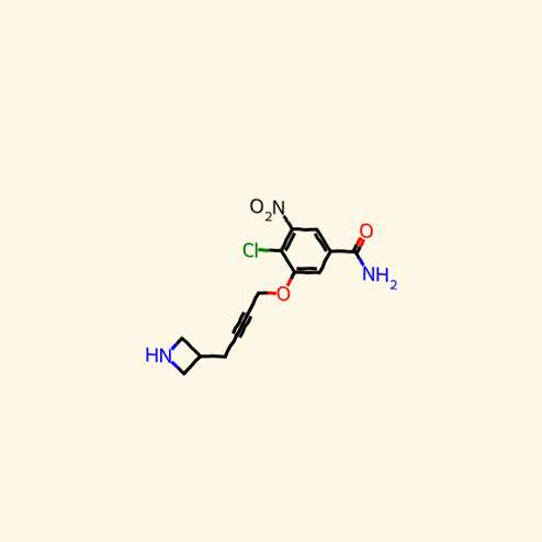 NC(=O)c1cc(OCC#CCC2CNC2)c(Cl)c([N+](=O)[O-])c1